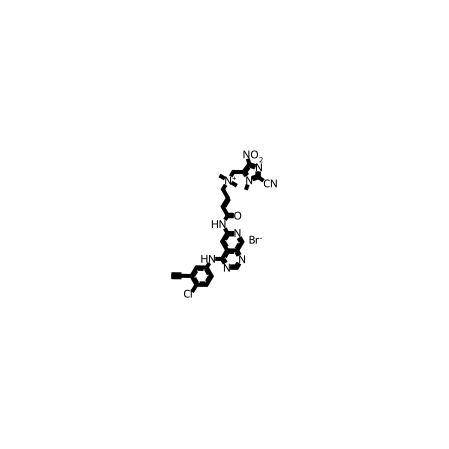 C#Cc1cc(Nc2ncnc3cnc(NC(=O)/C=C/C[N+](C)(C)Cc4c([N+](=O)[O-])nc(C#N)n4C)cc23)ccc1Cl.[Br-]